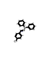 Clc1ccc(/C=N/N(c2ccccc2)c2ccccc2)cc1